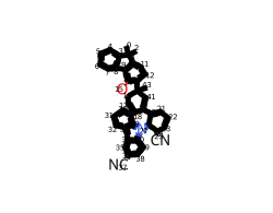 CC1(C)c2ccccc2-c2c1ccc1c2OC2C=CC(C3=CC=CC(C#N)C3n3c4ccccc4c4cc(C#N)ccc43)=CC12C